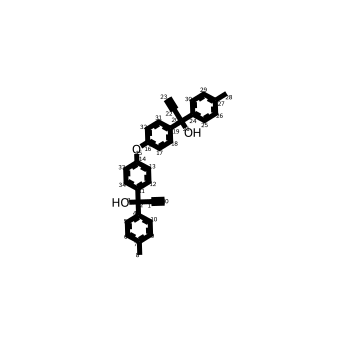 C#CC(O)(c1ccc(C)cc1)c1ccc(Oc2ccc(C(O)(C#C)c3ccc(C)cc3)cc2)cc1